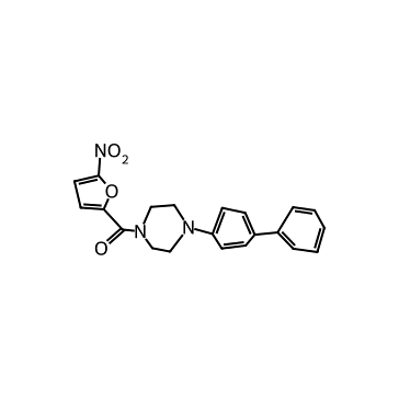 O=C(c1ccc([N+](=O)[O-])o1)N1CCN(c2ccc(-c3ccccc3)cc2)CC1